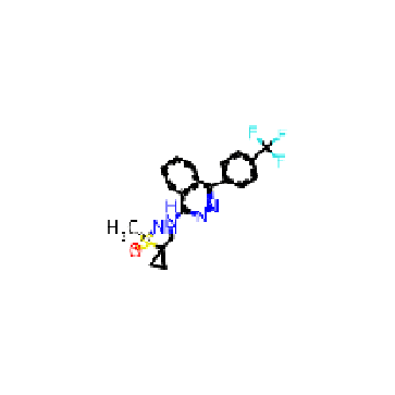 C[S@@](=N)(=O)C1(CNc2nnc(-c3ccc(C(F)(F)F)cc3)c3ccccc23)CC1